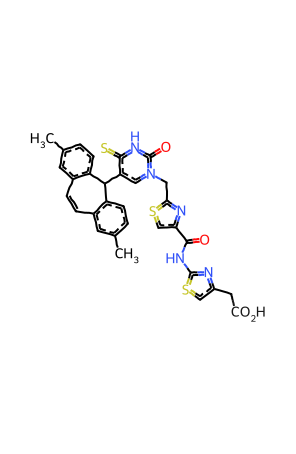 Cc1ccc2c(c1)C=Cc1cc(C)ccc1C2c1cn(Cc2nc(C(=O)Nc3nc(CC(=O)O)cs3)cs2)c(=O)[nH]c1=S